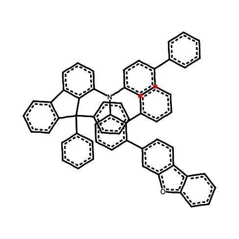 c1ccc(-c2ccc(N(c3cccc(-c4ccc5c(c4)oc4ccccc45)c3-c3ccccc3)c3cccc4c3C(c3ccccc3)(c3ccccc3)c3ccccc3-4)cc2)cc1